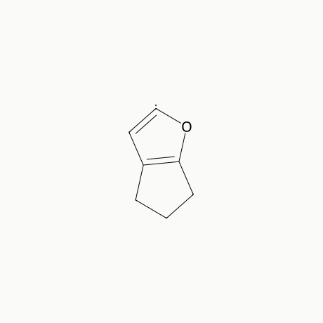 [c]1cc2c(o1)CCC2